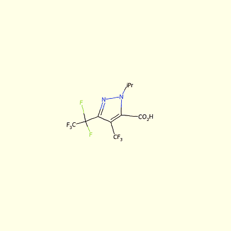 CC(C)n1nc(C(F)(F)C(F)(F)F)c(C(F)(F)F)c1C(=O)O